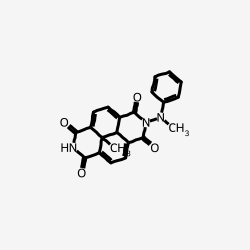 CN(c1ccccc1)N1C(=O)C2=CC=C3C(=O)NC(=O)C4=CC=C(C1=O)C2C34C